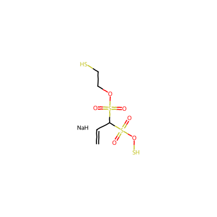 C=CC(S(=O)(=O)OS)S(=O)(=O)OCCS.[NaH]